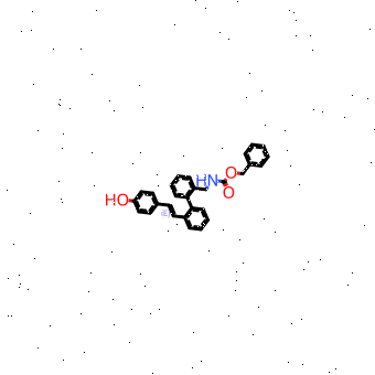 O=C(NCc1ccccc1-c1ccccc1/C=C/c1ccc(O)cc1)OCc1ccccc1